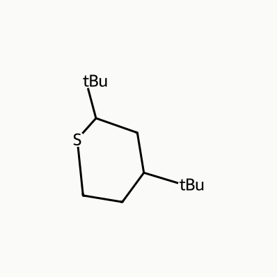 CC(C)(C)C1CCSC(C(C)(C)C)C1